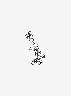 COc1cc(C(=O)N2CC3CCC2C3N)cc2nc(-c3cc4ccc(-c5ccc(N6CCCS6(=O)=O)cc5)nc4n3CC3CC3)n(C)c12